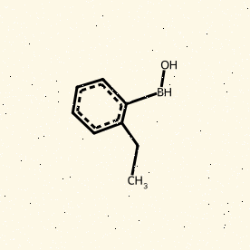 CCc1ccccc1BO